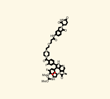 COC(=O)N[C@@H]1CC[C@@H](n2c(=O)n(C)c3cnc4[nH]c(-c5ccc(C(=O)N6CCN(CCOCCC(=O)Nc7ccc8c(c7)CN(C7CCC(=O)NC7=O)C8=O)CC6)c(F)c5)c(-c5ccc(OC)c(F)c5)c4c32)C1